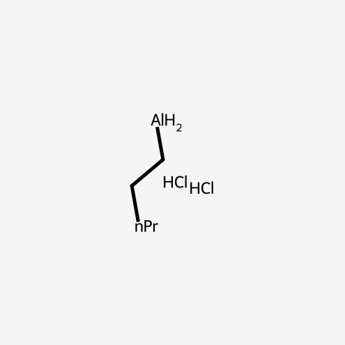 CCCC[CH2][AlH2].Cl.Cl